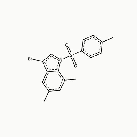 Cc1ccc(S(=O)(=O)n2cc(Br)c3cc(C)cc(C)c32)cc1